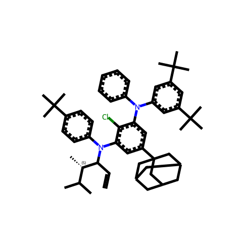 C=CC([C@@H](C)C(C)C)N(c1ccc(C(C)(C)C)cc1)c1cc(C23CC4CC(CC(C4)C2)C3)cc(N(c2ccccc2)c2cc(C(C)(C)C)cc(C(C)(C)C)c2)c1Cl